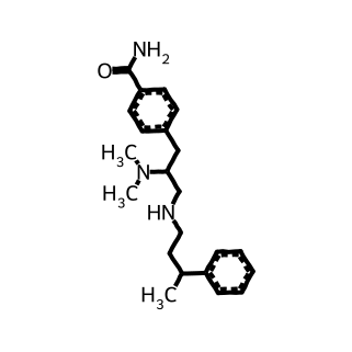 CC(CCNCC(Cc1ccc(C(N)=O)cc1)N(C)C)c1ccccc1